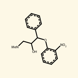 CNCC(O)C(Oc1ccccc1[N+](=O)[O-])c1ccccc1